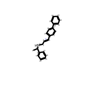 CC(NC/C=C/c1ccc(-c2ccccc2)cc1)c1ccccc1